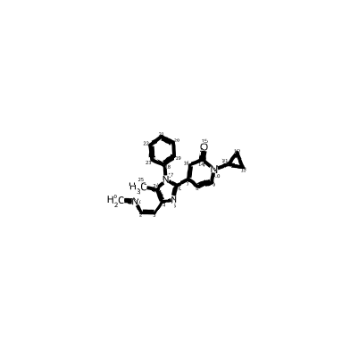 C=N/C=C\c1nc(-c2ccn(C3CC3)c(=O)c2)n(-c2ccccc2)c1C